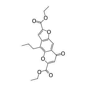 CCCc1c2cc(C(=O)OCC)oc2cc2c(=O)cc(C(=O)OCC)oc12